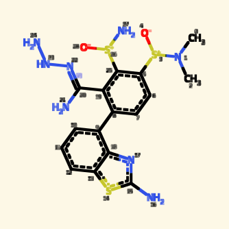 CN(C)[S+]([O-])c1ccc(-c2cccc3sc(N)nc23)c(/C(N)=N/NN)c1[S+](N)[O-]